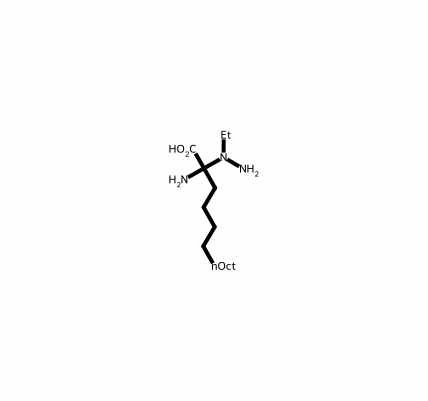 CCCCCCCCCCCCC(N)(C(=O)O)N(N)CC